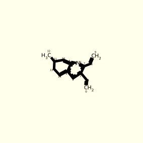 C=Cc1cc2c(nc1C=C)=CC(C)CC=2